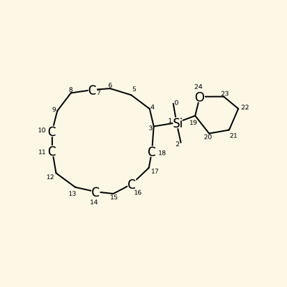 C[Si](C)(C1CCCCCCCCCCCCCCC1)C1CCCCO1